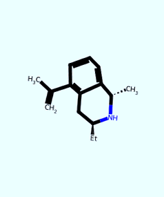 C=C(C)c1cccc2c1C[C@H](CC)N[C@H]2C